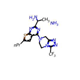 CCCc1cc2c(N3CCn4c(nnc4C(F)(F)F)C3)nc(C(C)N)nc2s1.N